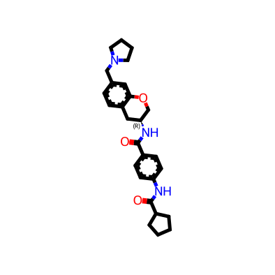 O=C(N[C@H]1COc2cc(CN3CCCC3)ccc2C1)c1ccc(NC(=O)C2CCCC2)cc1